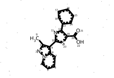 Cc1nn2ccccc2c1-c1nc(-c2ccccc2)c(C(=O)O)s1